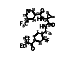 CCN(CC)C(=O)c1ccc([C@@H](C)NC(=O)C2(NC(=O)c3cncc(C(F)(F)F)c3)CC2)c(F)c1